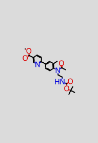 COC(=O)c1ccc(-c2ccc(N(CCNC(=O)OC(C)(C)C)C(C)=O)c(C)c2)nc1